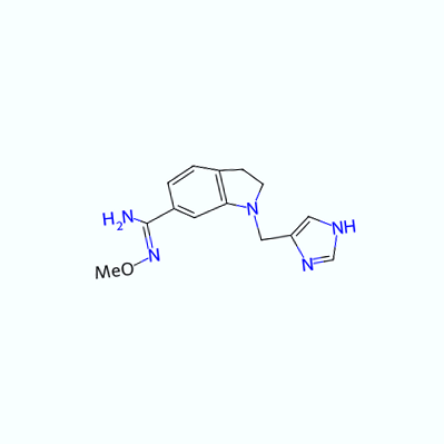 CON=C(N)c1ccc2c(c1)N(Cc1c[nH]cn1)CC2